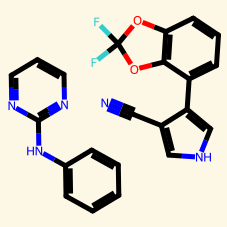 N#Cc1c[nH]cc1-c1cccc2c1OC(F)(F)O2.c1ccc(Nc2ncccn2)cc1